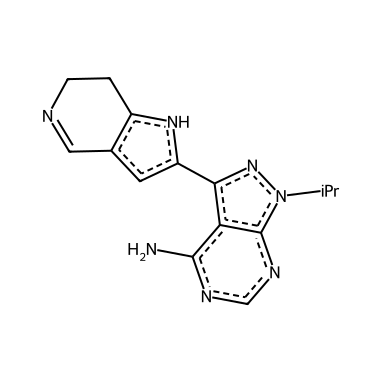 CC(C)n1nc(-c2cc3c([nH]2)CCN=C3)c2c(N)ncnc21